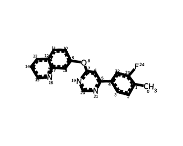 Cc1ccc(-c2cc(Oc3ccc4cccnc4c3)ncn2)cc1F